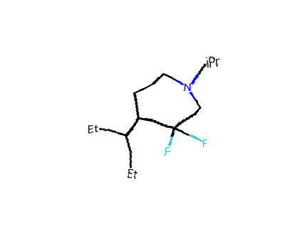 CCC(CC)C1CCN(C(C)C)CC1(F)F